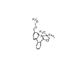 COCOCc1ccc(-c2ccccc2C2=NC(C)(C)CO2)cc1